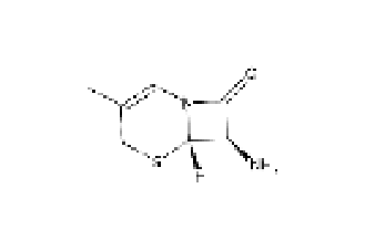 CC1=CN2C(=O)[C@@H](N)[C@@H]2SC1